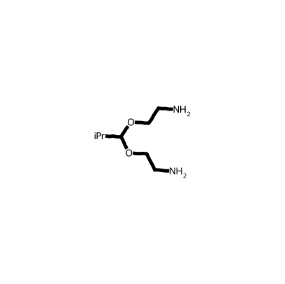 CC(C)C(OCCN)OCCN